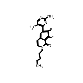 CCCCCn1ccc2cc(-c3nc(N)ncc3C)c(F)c(F)c2c1=O